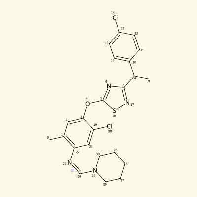 Cc1cc(Oc2nc(C(C)c3ccc(Cl)cc3)ns2)c(Cl)cc1/N=C\N1CCCCC1